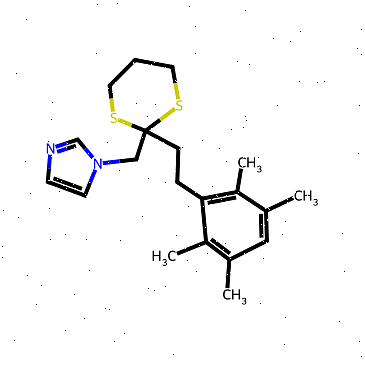 Cc1cc(C)c(C)c(CCC2(Cn3ccnc3)SCCCS2)c1C